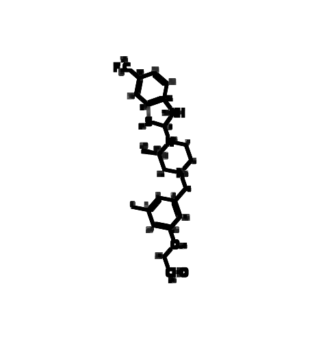 Cc1cc(CN2CCN(C3Nc4ccc(C(F)(F)F)cc4S3)[C@H](C)C2)cc(OCC=O)c1